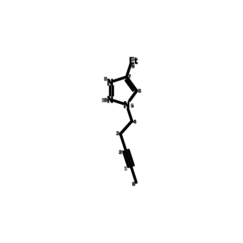 CC#CCCn1cc(CC)nn1